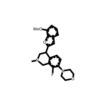 COc1cccc2cc(C3CN(C)Cc4c3ccc(N3CCOCC3)c4F)oc12